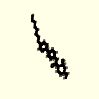 CCCCCCCCc1cnc(-c2ccc(CC(=O)C3CCC(CC)CC3=O)cc2)nc1